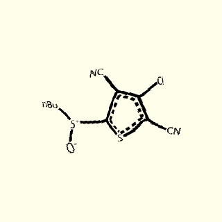 CCCC[S+]([O-])c1sc(C#N)c(Cl)c1C#N